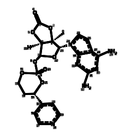 C[C@@]12OC(=O)O[C@@H]1C(OP1(=O)OCC[C@@H](c3ccncc3)O1)O[C@H]2n1ccc2c(N)nc(N)nc21